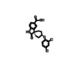 O=C(O)c1ccc2c(c1)[C@]1(CC[C@@H](Oc3ccc(Cl)cc3Cl)CC1)C(=O)N2